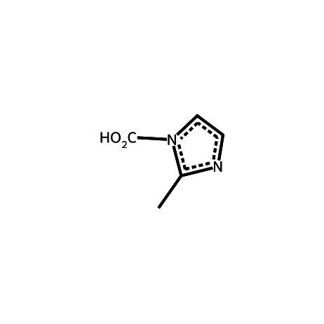 Cc1nccn1C(=O)O